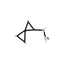 N#CSC1CC12CC2